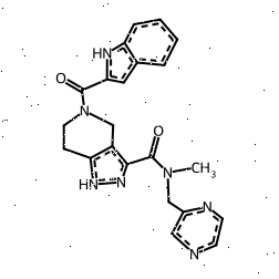 CN(Cc1cnccn1)C(=O)c1n[nH]c2c1CN(C(=O)c1cc3ccccc3[nH]1)CC2